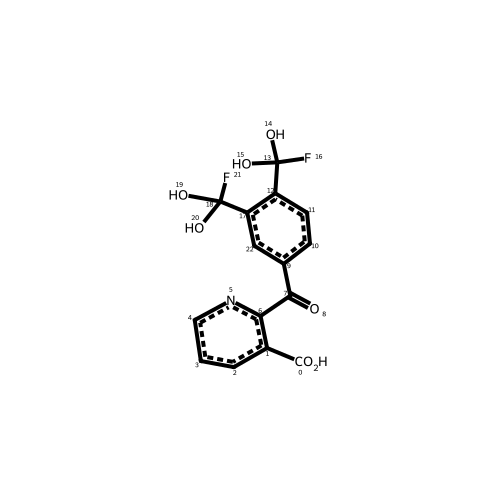 O=C(O)c1cccnc1C(=O)c1ccc(C(O)(O)F)c(C(O)(O)F)c1